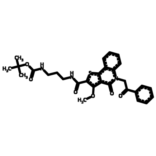 COc1c(C(=O)NCCCNC(=O)OC(C)(C)C)sc2c1c(=O)n(CC(=O)c1ccccc1)c1ccccc21